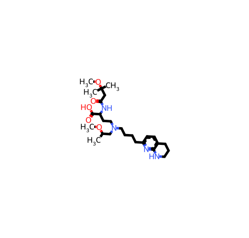 COC(C)CN(CCCCc1ccc2c(n1)NCCC2)CCC(NC(=O)CC(C)(C)OC)C(=O)O